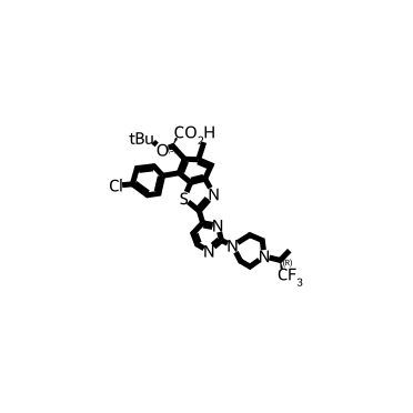 Cc1cc2nc(-c3ccnc(N4CCN([C@H](C)C(F)(F)F)CC4)n3)sc2c(-c2ccc(Cl)cc2)c1[C@H](OC(C)(C)C)C(=O)O